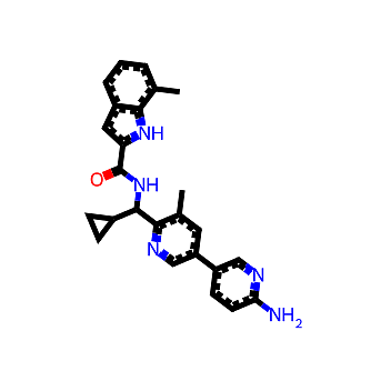 Cc1cc(-c2ccc(N)nc2)cnc1C(NC(=O)c1cc2cccc(C)c2[nH]1)C1CC1